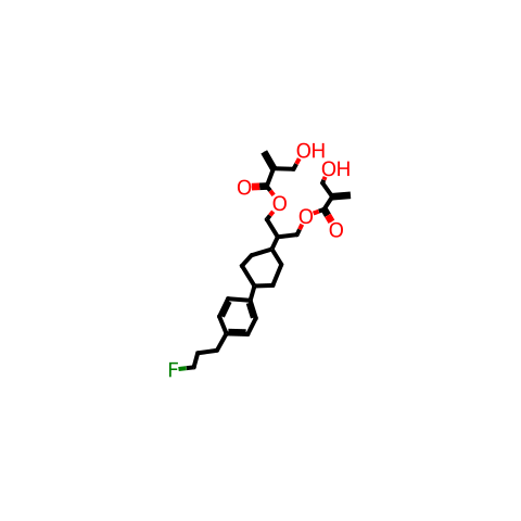 C=C(CO)C(=O)OCC(COC(=O)C(=C)CO)C1CCC(c2ccc(CCCF)cc2)CC1